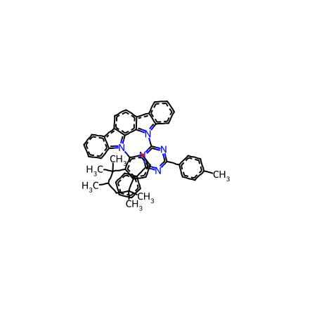 Cc1ccc(-c2nc(-c3ccccc3)nc(-n3c4ccccc4c4ccc5c6ccccc6n(-c6cccc7c6C(C)(C)C(C)CC7(C)C)c5c43)n2)cc1